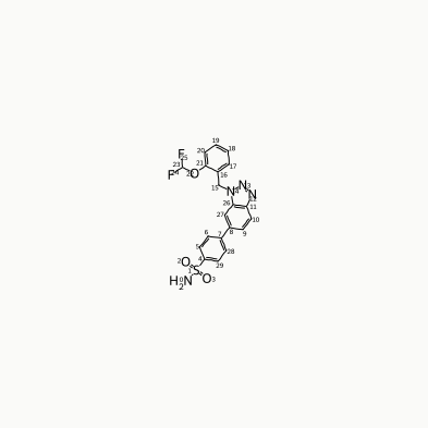 NS(=O)(=O)c1ccc(-c2ccc3nnn(Cc4ccccc4OC(F)F)c3c2)cc1